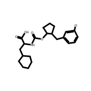 O=C(NC(CC1CCCCC1)C(=O)O)OC1CCCC1Cc1cccc(Cl)c1